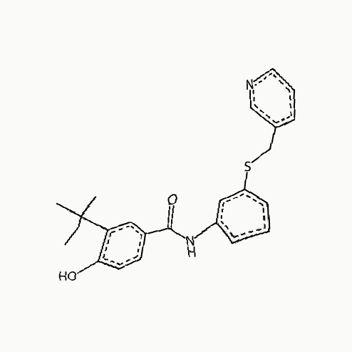 CC(C)(C)c1cc(C(=O)Nc2cccc(SCc3cccnc3)c2)ccc1O